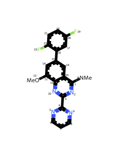 CNc1nc(-c2ncccn2)nc2c(OC)cc(-c3cc(F)ccc3F)cc12